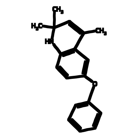 CC1=CC(C)(C)Nc2ccc(Oc3ccccc3)cc21